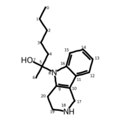 CCCCCC(C)(O)n1c2c(c3ccccc31)CNCC2